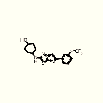 OC1CCC(Nc2nn3cc(-c4cccc(OC(F)(F)F)c4)nc3s2)CC1